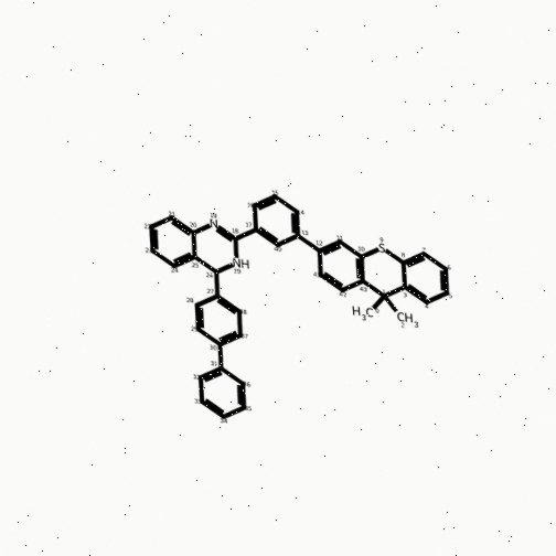 CC1(C)c2ccccc2Sc2cc(-c3cccc(C4=Nc5ccccc5C(c5ccc(-c6ccccc6)cc5)N4)c3)ccc21